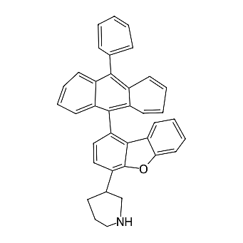 c1ccc(-c2c3ccccc3c(-c3ccc(C4CCCNC4)c4oc5ccccc5c34)c3ccccc23)cc1